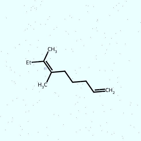 C=CCCC/C(C)=C(\C)CC